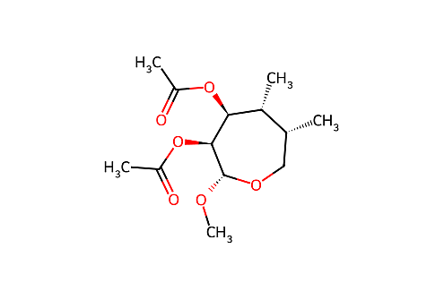 CO[C@H]1OC[C@@H](C)[C@@H](C)[C@H](OC(C)=O)[C@@H]1OC(C)=O